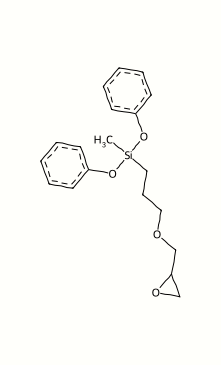 C[Si](CCCOCC1CO1)(Oc1ccccc1)Oc1ccccc1